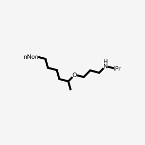 CCCCCCCCCCCCCC(C)OCCCNC(C)C